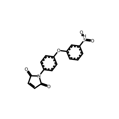 O=C1C=CC(=O)N1c1ccc(Oc2cccc([SH](=O)=O)c2)cc1